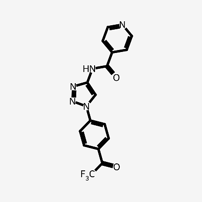 O=C(Nc1cn(-c2ccc(C(=O)C(F)(F)F)cc2)nn1)c1ccncc1